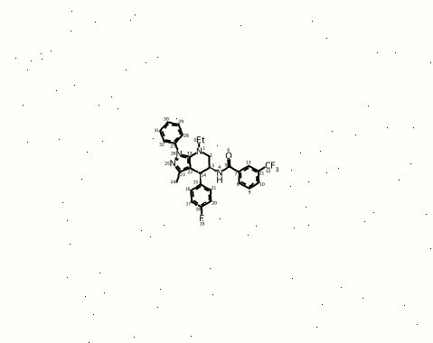 CCN1C[C@@H](NC(=O)c2cccc(C(F)(F)F)c2)[C@@H](c2ccc(F)cc2)c2c(C)nn(-c3ccccc3)c21